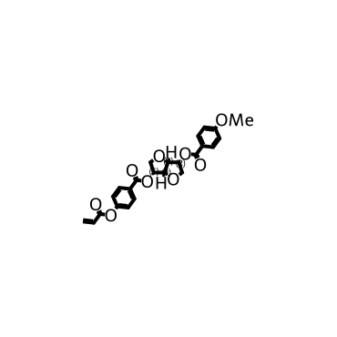 C=CC(=O)Oc1ccc(C(=O)O[C@H]2CO[C@H]3[C@@H]2OC[C@H]3OC(=O)c2ccc(OC)cc2)cc1